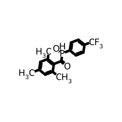 Cc1cc(C)c(C(=O)[PH](=O)c2ccc(C(F)(F)F)cc2)c(C)c1